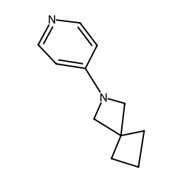 c1cc(N2CC3(CCC3)C2)ccn1